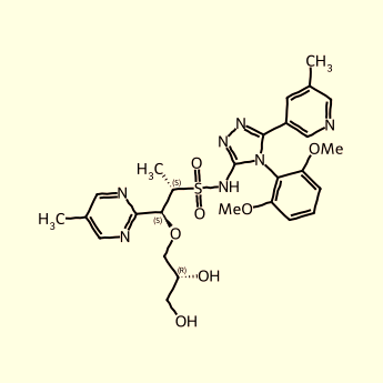 COc1cccc(OC)c1-n1c(NS(=O)(=O)[C@@H](C)[C@@H](OC[C@H](O)CO)c2ncc(C)cn2)nnc1-c1cncc(C)c1